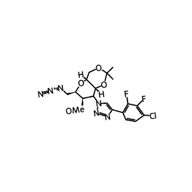 CO[C@@H]1C(n2cc(-c3ccc(Cl)c(F)c3F)nn2)[C@H]2OC(C)(C)OC[C@H]2O[C@@H]1CN=[N+]=[N-]